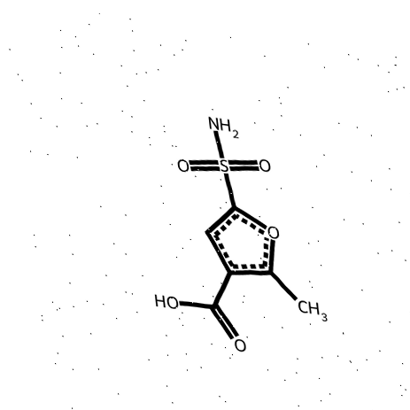 Cc1oc(S(N)(=O)=O)cc1C(=O)O